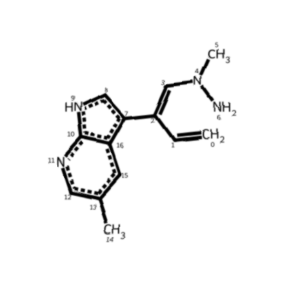 C=C/C(=C\N(C)N)c1c[nH]c2ncc(C)cc12